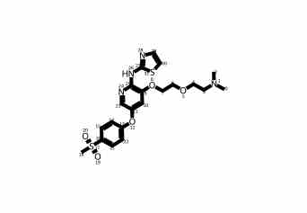 CN(C)CCOCCOc1cc(Oc2ccc(S(C)(=O)=O)cc2)cnc1Nc1nccs1